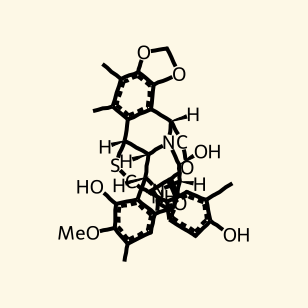 COc1c(C)cc2c(c1O)[C@@H]1[C@@H]3[C@@H]4SC[C@]5(NCCc6cc(O)c(C)cc65)C(=O)OC[C@@H](c5c6c(c(C)c(C)c54)OCO6)N3[C@@H](O)[C@H](C2)N1C